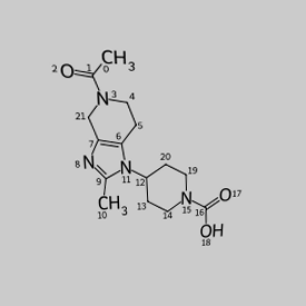 CC(=O)N1CCc2c(nc(C)n2C2CCN(C(=O)O)CC2)C1